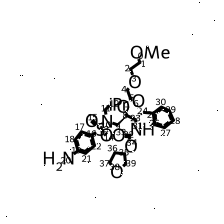 COCCOCC(=O)O[C@H](CN(CC(C)C)S(=O)(=O)c1ccc(N)cc1)[C@H](Cc1ccccc1)NC(=O)O[C@H]1CCOC1